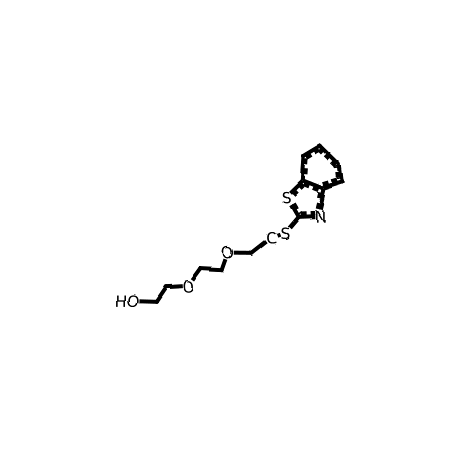 OCCOCCOCCSc1nc2ccccc2s1